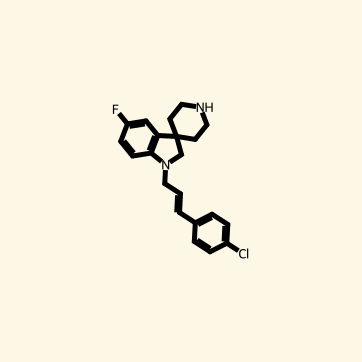 Fc1ccc2c(c1)C1(CCNCC1)CN2C/C=C/c1ccc(Cl)cc1